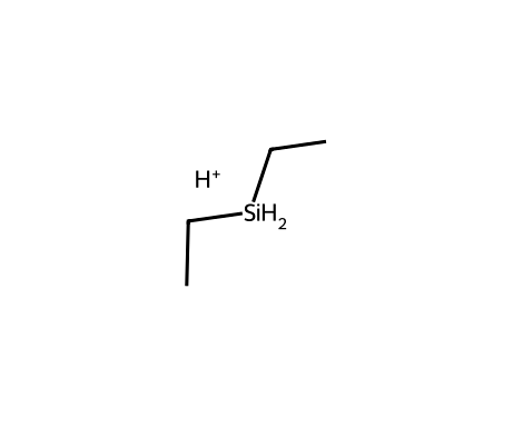 CC[SiH2]CC.[H+]